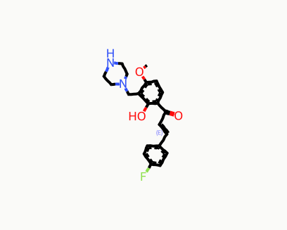 COc1ccc(C(=O)/C=C/c2ccc(F)cc2)c(O)c1CN1CCNCC1